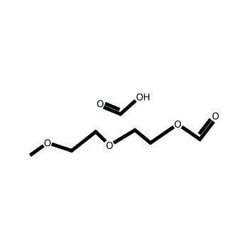 COCCOCCOC=O.O=CO